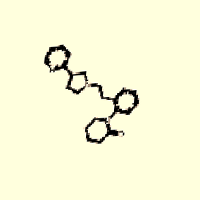 O=C1CCCCN1c1ccccc1CCN1CCC(c2ccccn2)C1